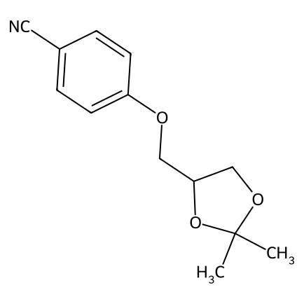 CC1(C)OCC(COc2ccc(C#N)cc2)O1